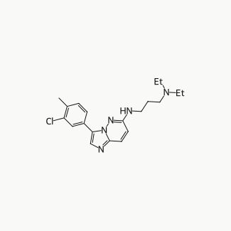 CCN(CC)CCCNc1ccc2ncc(-c3ccc(C)c(Cl)c3)n2n1